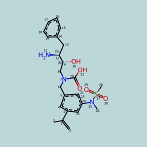 C=C(C)c1cc(CN(C[C@@H](O)[C@@H](N)Cc2ccccc2)C(=O)O)cc(N(C)S(C)(=O)=O)c1